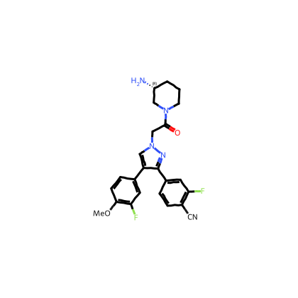 COc1ccc(-c2cn(CC(=O)N3CCC[C@@H](N)C3)nc2-c2ccc(C#N)c(F)c2)cc1F